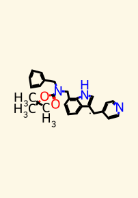 CC(C)(C)OC(=O)N(Cc1ccccc1)Cc1cccc2c([CH]c3ccncc3)c[nH]c12